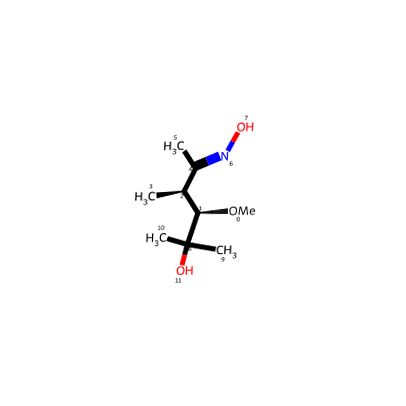 CO[C@H]([C@@H](C)C(C)=NO)C(C)(C)O